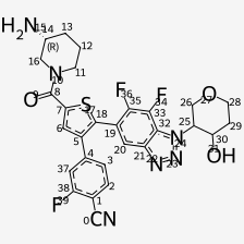 N#Cc1ccc(-c2cc(C(=O)N3CCC[C@@H](N)C3)sc2-c2cc3nnn(C4COCCC4O)c3c(F)c2F)cc1F